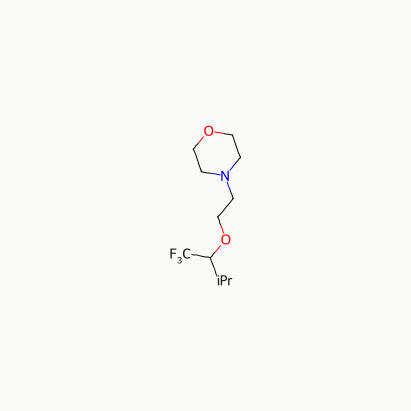 CC(C)C(OCCN1CCOCC1)C(F)(F)F